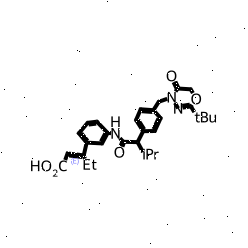 CC/C(=C\C(=O)O)c1cccc(NC(=O)C(c2ccc(CN3N=C(C(C)(C)C)OCC3=O)cc2)C(C)C)c1